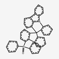 O=P(c1ccccc1)(c1ccccc1)c1cccc2c1-c1ccccc1C21c2ccccc2-n2c3ccccc3c3cccc1c32